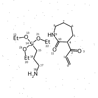 C=CC(=O)C1CCCCNC1=O.CCO[Si](CCCN)(OCC)OCC